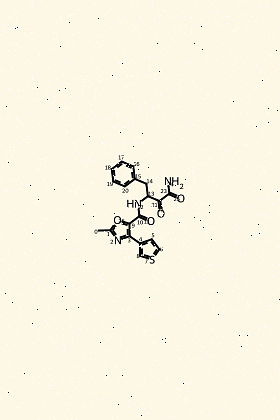 Cc1nc(-c2ccsc2)c(C(=O)NC(Cc2ccccc2)C(=O)C(N)=O)o1